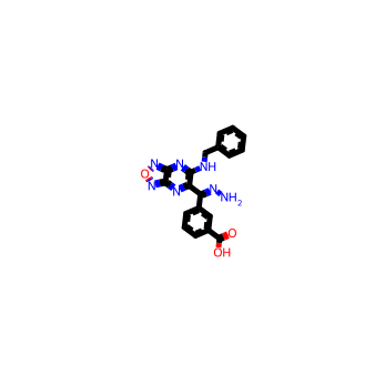 NN=C(c1cccc(C(=O)O)c1)c1nc2nonc2nc1NCc1ccccc1